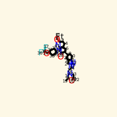 CCOc1ccc2cc(-c3ccc4nn(CCN5CC(C)O[C@@H](C)C5)cc4c3)c(=O)n(-c3ccc(OC(F)F)cc3)c2n1